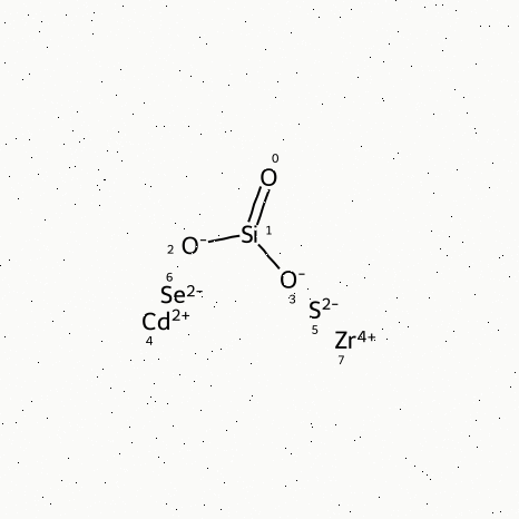 O=[Si]([O-])[O-].[Cd+2].[S-2].[Se-2].[Zr+4]